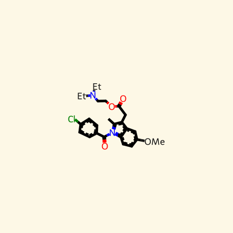 CCN(CC)CCOC(=O)Cc1c(C)n(C(=O)c2ccc(Cl)cc2)c2ccc(OC)cc12